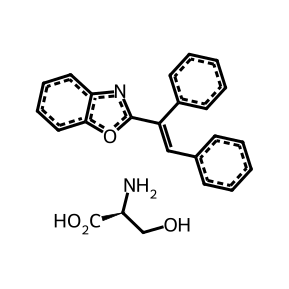 C(=C(c1ccccc1)c1nc2ccccc2o1)c1ccccc1.N[C@@H](CO)C(=O)O